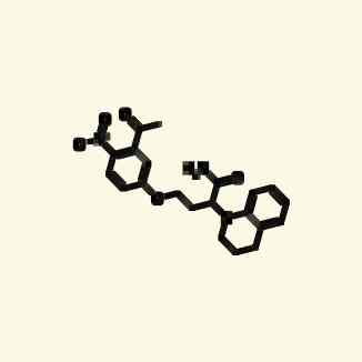 CC(=O)c1cc(OCCC(C(N)=O)N2CCCc3ccccc32)ccc1[N+](=O)[O-]